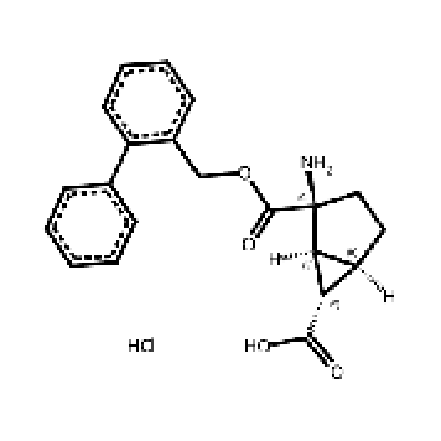 Cl.N[C@@]1(C(=O)OCc2ccccc2-c2ccccc2)CC[C@H]2[C@H](C(=O)O)[C@H]21